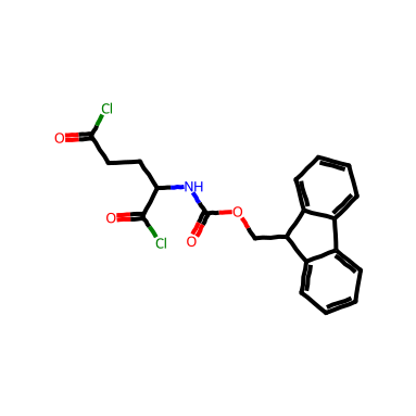 O=C(Cl)CCC(NC(=O)OCC1c2ccccc2-c2ccccc21)C(=O)Cl